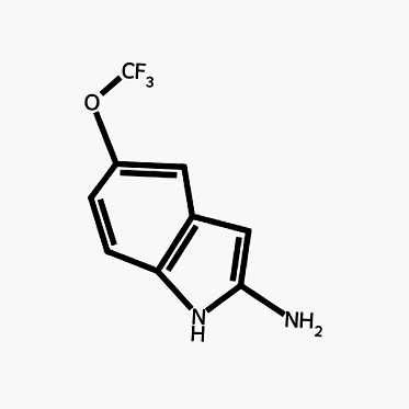 Nc1cc2cc(OC(F)(F)F)ccc2[nH]1